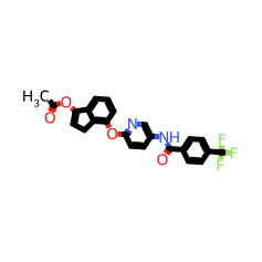 CC(=O)OC1=CCc2c(Oc3ccc(NC(=O)c4ccc(C(F)(F)F)cc4)cn3)cccc21